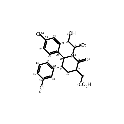 CCC(CO)N1C(=O)C(CC(=O)O)C[C@H](c2cccc(Cl)c2)[C@H]1c1ccc(Cl)cc1